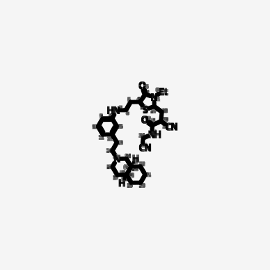 CCN1C(=O)C(CCNc2cccc(CCN3CC[C@H]4CCCC[C@@H]4C3)c2)SC1CC(C#N)C(=O)NCC#N